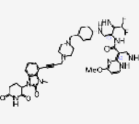 COC1=N/C(=C(/C=N)C(=O)N/C(=C/N[C@H]2CC[C@H](CN3CCN(CC#Cc4cccc5c4n(C)c(=O)n5C4CCC(=O)NC4=O)CC3)CC2)C(=N)C(F)F)NC=C1